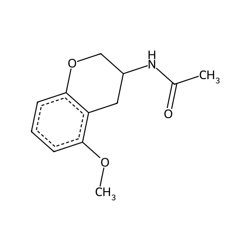 COc1cccc2c1CC(NC(C)=O)CO2